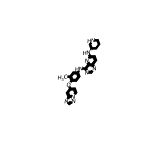 Cc1cc(Nc2ncnc3ccc(N[C@H]4CCCNC4)nc23)ccc1Oc1ccn2ncnc2c1